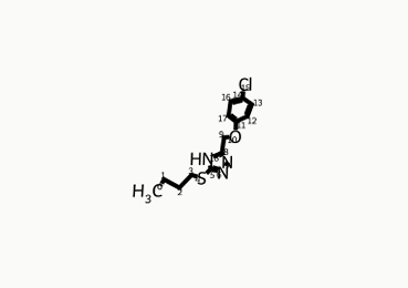 CCCCSc1nnc(COc2ccc(Cl)cc2)[nH]1